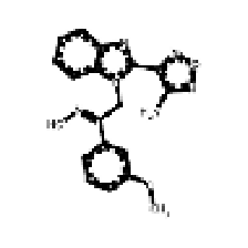 COc1cccc(C(Cn2c(-c3nonc3N)nc3ccccc32)=NO)c1